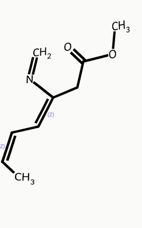 C=N/C(=C\C=C/C)CC(=O)OC